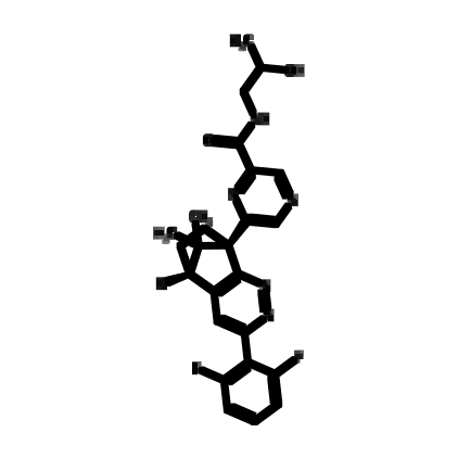 CC(O)CNC(=O)c1cncc([C@@]23CC[C@@H](c4cc(-c5c(F)cccc5F)nnc42)C3(C)C)n1